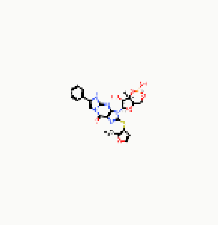 Cc1occc1Sc1nc2c(=O)n3cc(-c4ccccc4)[nH]c3nc2n1[C@@H]1OC2CO[P@@](O)O[C@H]2[C@@H]1O